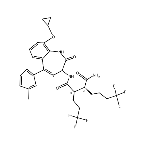 Cc1cccc(C2=NC(NC(=O)[C@H](CCC(F)(F)F)[C@H](CCCC(F)(F)F)C(N)=O)C(=O)Nc3c(OC4CC4)cccc32)c1